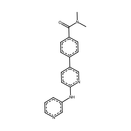 CN(C)C(=O)c1ccc(-c2ccc(Nc3cccnc3)nc2)cc1